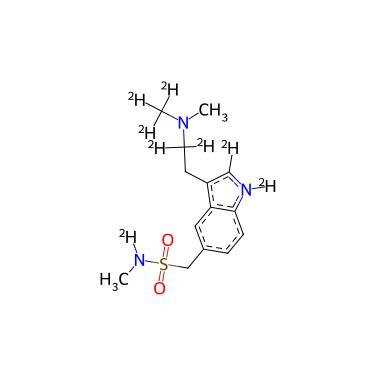 [2H]c1c(CC([2H])([2H])N(C)C([2H])([2H])[2H])c2cc(CS(=O)(=O)N([2H])C)ccc2n1[2H]